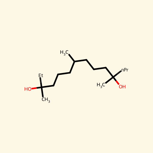 CCCC(C)(O)CCCC(C)CCCC(C)(O)CC